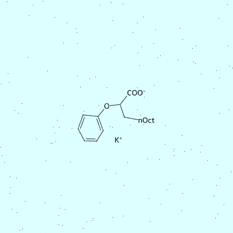 CCCCCCCCCC(Oc1ccccc1)C(=O)[O-].[K+]